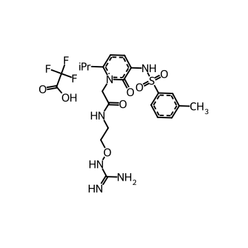 Cc1cccc(S(=O)(=O)Nc2ccc(C(C)C)n(CC(=O)NCCONC(=N)N)c2=O)c1.O=C(O)C(F)(F)F